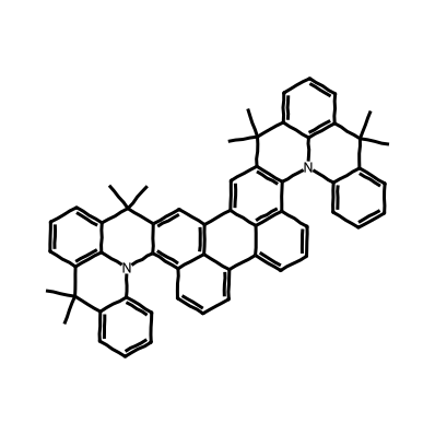 CC1(C)c2ccccc2N2c3c1cccc3C(C)(C)c1cc3c4cc5c(c6cccc(c7cccc(c12)c73)c64)N1c2ccccc2C(C)(C)c2cccc(c21)C5(C)C